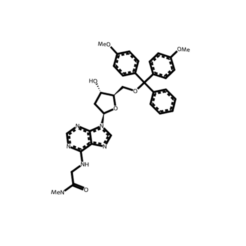 CNC(=O)CNc1ncnc2c1ncn2[C@H]1C[C@H](O)[C@@H](COC(c2ccccc2)(c2ccc(OC)cc2)c2ccc(OC)cc2)O1